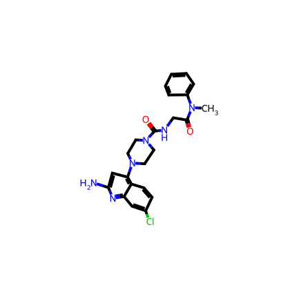 CN(C(=O)CNC(=O)N1CCN(c2cc(N)nc3cc(Cl)ccc23)CC1)c1ccccc1